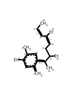 C=c1cc(CC)c(C)c/c1=C(/C)C(CC)C/C=C(\C=C/C)CC